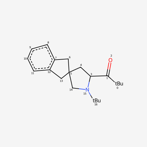 CC(C)(C)C(=O)C1CC2(Cc3ccccc3C2)CN1C(C)(C)C